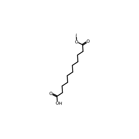 O=C(O)CCCCCCCCCC(=O)OI